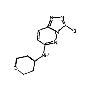 Clc1nnc2ccc(NC3CCOCC3)nn12